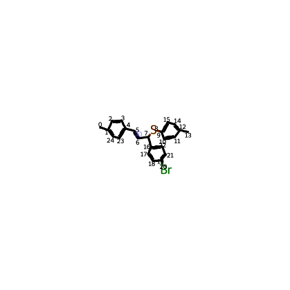 Cc1ccc(/C=C/C(Sc2ccc(C)cc2)c2ccc(Br)cc2)cc1